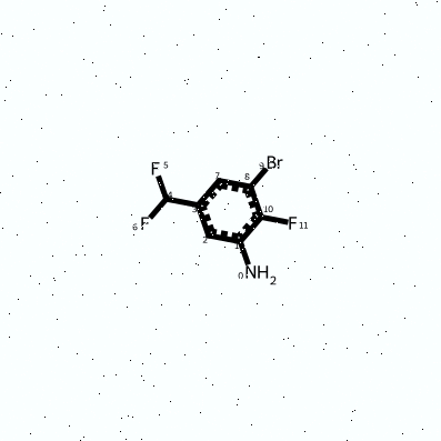 Nc1cc(C(F)F)cc(Br)c1F